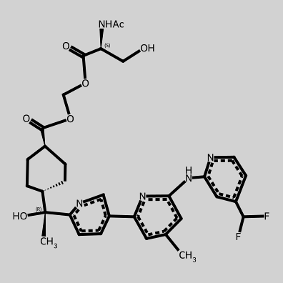 CC(=O)N[C@@H](CO)C(=O)OCOC(=O)[C@H]1CC[C@H]([C@@](C)(O)c2ccc(-c3cc(C)cc(Nc4cc(C(F)F)ccn4)n3)cn2)CC1